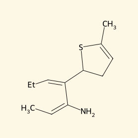 C/C=C(N)\C(=C/CC)C1CC=C(C)S1